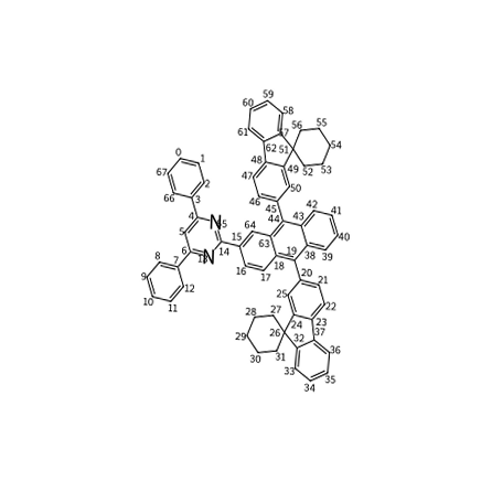 c1ccc(-c2cc(-c3ccccc3)nc(-c3ccc4c(-c5ccc6c(c5)C5(CCCCC5)c5ccccc5-6)c5ccccc5c(-c5ccc6c(c5)C5(CCCCC5)c5ccccc5-6)c4c3)n2)cc1